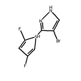 FC1=C[SH](c2n[nH]cc2Br)C(F)=C1